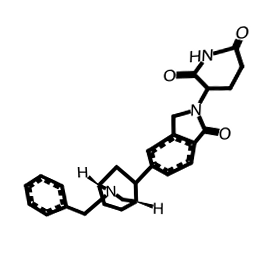 O=C1CCC(N2Cc3cc(C4C[C@H]5CC[C@@H]4CN5Cc4ccccc4)ccc3C2=O)C(=O)N1